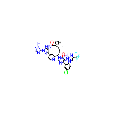 CC1CCCC(n2cnc(-c3cc(Cl)ccc3N(N)/C=C(\N)C(F)(F)F)cc2=O)c2cc(ccn2)-c2nn(-c3ncn[nH]3)cc2NC1=O